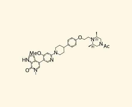 COc1cc(N2CCC(c3ccc(OCCN4[C@H](C)CN(C(C)=O)C[C@@H]4C)cc3)CC2)ncc1-c1cn(C)c(=O)c2[nH]ccc12